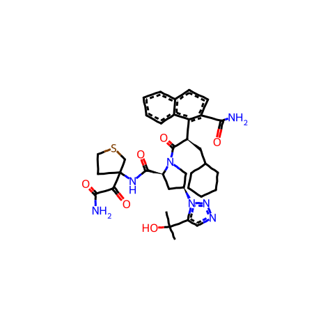 CC(C)(O)c1cnnn1[C@H]1C[C@@H](C(=O)NC2(C(=O)C(N)=O)CCSC2)N(C(=O)[C@H](CC2CCCCC2)c2c(C(N)=O)ccc3ccccc23)C1